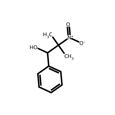 CC(C)(C(O)c1ccccc1)[N+](=O)[O-]